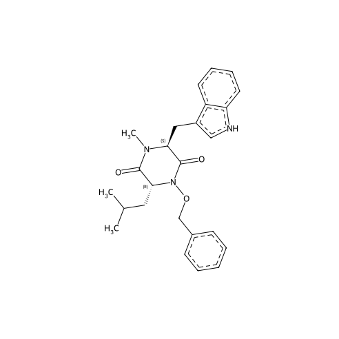 CC(C)C[C@@H]1C(=O)N(C)[C@@H](Cc2c[nH]c3ccccc23)C(=O)N1OCc1ccccc1